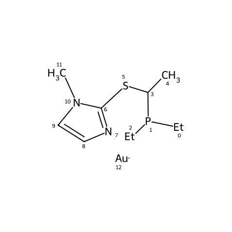 CCP(CC)C(C)Sc1nccn1C.[Au]